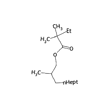 CCCCCCCCC(C)COC(=O)C(C)(C)CC